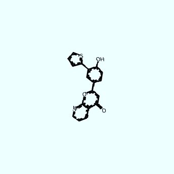 O=c1cc(-c2ccc(O)c(-c3cccs3)c2)oc2ncccc12